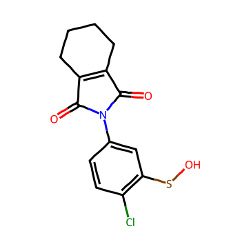 O=C1C2=C(CCCC2)C(=O)N1c1ccc(Cl)c(SO)c1